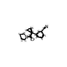 N#Cc1cccc(C2(C(=O)N3CCCC3)CC2)c1